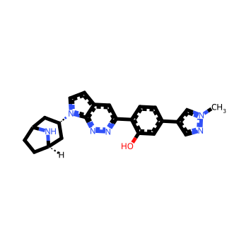 Cn1cc(-c2ccc(-c3cc4ccn([C@H]5CC6CC[C@H](C5)N6)c4nn3)c(O)c2)cn1